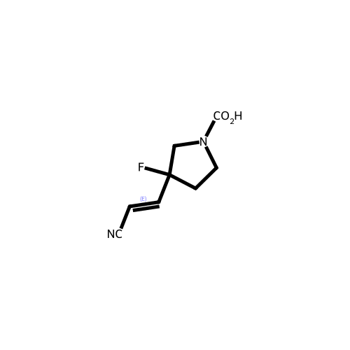 N#C/C=C/C1(F)CCN(C(=O)O)C1